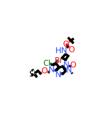 Cn1c(=O)n(C2CC(NC(=O)OC(C)(C)C)C2)c2c3c(Br)c(Cl)n(COCC[Si](C)(C)C)c3ncc21